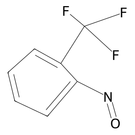 O=Nc1ccccc1C(F)(F)F